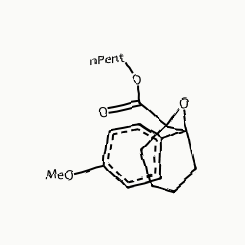 CCCCCOC(=O)C12CCCCC1(c1ccc(OC)cc1)O2